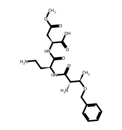 COC(=O)C[C@H](NC(=O)[C@H](CCN)NC(=O)[C@@H](N)[C@@H](C)OCc1ccccc1)C(=O)O